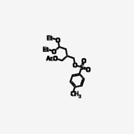 CCOC(CC(COC(C)=O)COS(=O)(=O)c1ccc(C)cc1)OCC